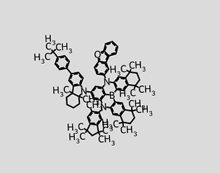 Cc1cc2c(cc1N1c3cc4c(cc3B3c5cc6c(cc5N(c5ccc7oc8ccccc8c7c5)c5cc(N7c8ccc(-c9ccc(C(C)(C)C)cc9)cc8C8(C)CCCCC78C)cc1c53)C(C)(C)CCC6(C)C)C(C)(C)CCC4(C)C)C(C)(C)CC2(C)C